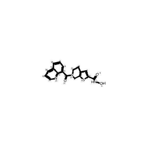 O=C(NO)c1cc2c(s1)CN(C(=O)c1cccc3cccnc13)CC2